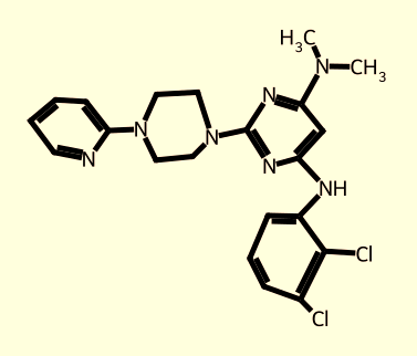 CN(C)c1cc(Nc2cccc(Cl)c2Cl)nc(N2CCN(c3ccccn3)CC2)n1